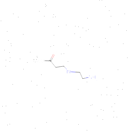 COC(=O)CCNCCN